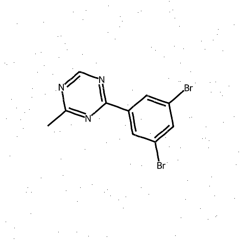 Cc1ncnc(-c2cc(Br)cc(Br)c2)n1